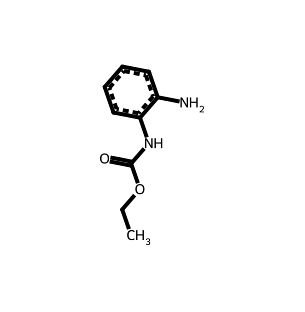 CCOC(=O)Nc1ccccc1N